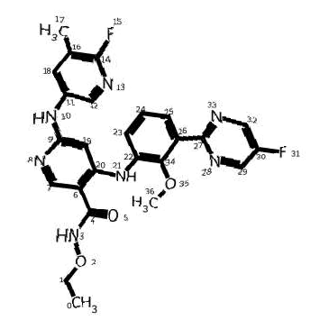 CCONC(=O)c1cnc(Nc2cnc(F)c(C)c2)cc1Nc1cccc(-c2ncc(F)cn2)c1OC